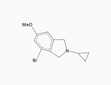 COc1cc(Br)c2c(c1)CN(C1CC1)C2